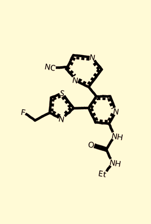 CCNC(=O)Nc1cc(-c2nc(CF)cs2)c(-c2cncc(C#N)n2)cn1